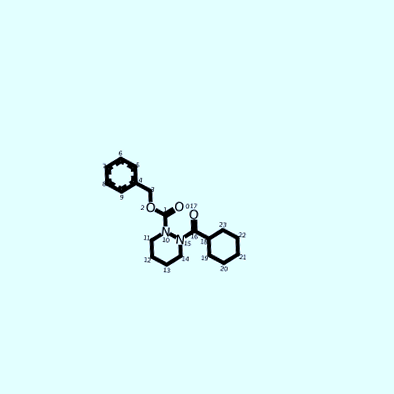 O=C(OCc1ccccc1)N1CCCCN1C(=O)C1CCCCC1